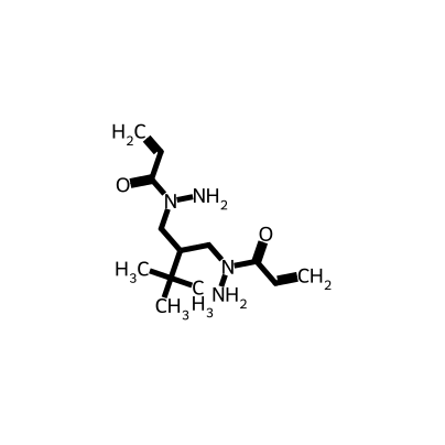 C=CC(=O)N(N)CC(CN(N)C(=O)C=C)C(C)(C)C